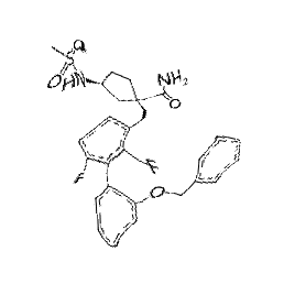 CS(=O)(=O)N[C@H]1CC[C@](Cc2ccc(F)c(-c3ccccc3OCc3ccccc3)c2F)(C(N)=O)C1